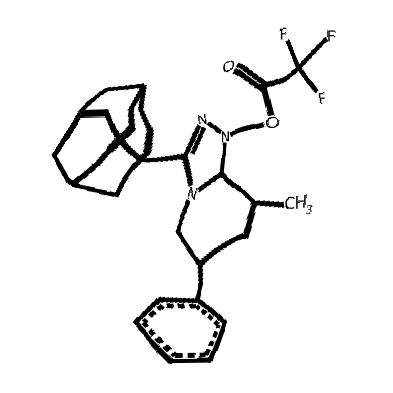 CC1CC(c2ccccc2)CN2C(C34CC5CC(CC(C5)C3)C4)=NN(OC(=O)C(F)(F)F)C12